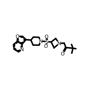 CC(C)(C)C(=O)CN1CC(S(=O)(=O)N2CCC(c3coc4cccnc34)CC2)C1